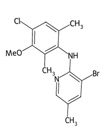 COc1c(Cl)cc(C)c(Nc2ncc(C)cc2Br)c1C